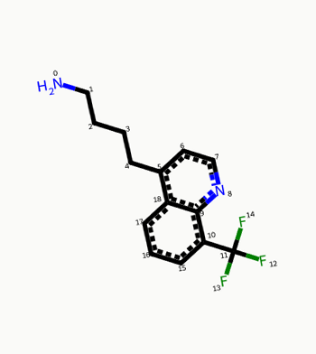 NCCCCc1ccnc2c(C(F)(F)F)cccc12